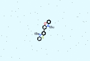 CC(C)(C)N1c2ccccc2OC2C=CC(c3ccc4c(c3)N(C(C)(C)C)C3C=CC=CC3S4)=CC21